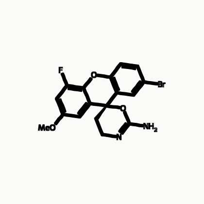 COc1cc(F)c2c(c1)[C@]1(CCN=C(N)O1)c1cc(Br)ccc1O2